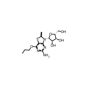 C=C1Sc2c(OCCC)nc(N)nc2N1[C@@H]1O[C@H](CO)[C@@H](O)[C@H]1O